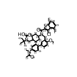 COc1ccc(-c2ccc(N(C)C(C)=O)cc2)cc1CN(C(=O)c1sc2c(F)ccc(F)c2c1Cl)C1CCC(CN(C(=O)O)C(C)(C)C)CC1